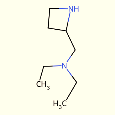 CCN(CC)CC1CCN1